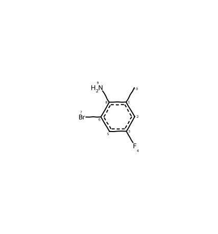 [CH2]c1cc(F)cc(Br)c1N